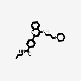 CCCNC(=O)c1ccc(-c2cc(NCCCN3CCCCC3)c3ccccc3n2)cc1